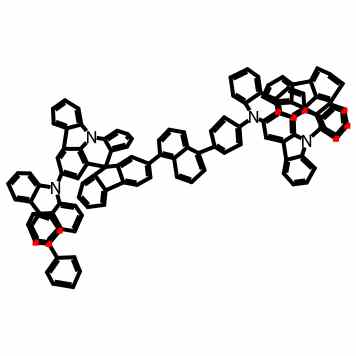 c1ccc(-c2ccc(-c3ccccc3N(c3ccc(-c4cccc5c(-c6ccc7c(c6)C6(c8ccccc8-7)c7ccccc7-n7c8ccccc8c8cc(N(c9ccccc9-c9ccc(-c%10ccccc%10)cc9)c9cccc%10ccccc9%10)cc6c87)cccc45)cc3)c3cc4c5c(c3)c3ccccc3n5-c3ccccc3C43c4ccccc4-c4ccccc43)cc2)cc1